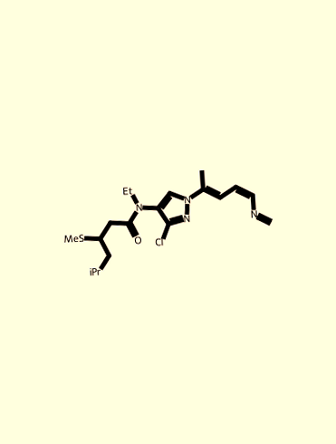 C=N/C=C\C=C(/C)n1cc(N(CC)C(=O)CC(CC(C)C)SC)c(Cl)n1